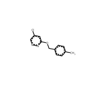 Cc1ccc(COc2cc(Cl)cnn2)cc1